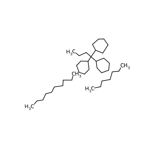 CCCC(C1CCCCC1)(C1CCCCC1)C1CCCCC1.CCCCCCC.CCCCCCCCCC